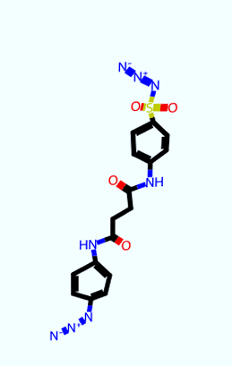 [N-]=[N+]=Nc1ccc(NC(=O)CCC(=O)Nc2ccc(S(=O)(=O)N=[N+]=[N-])cc2)cc1